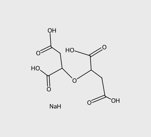 O=C(O)CC(OC(CC(=O)O)C(=O)O)C(=O)O.[NaH]